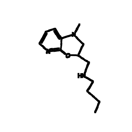 CCCCNCC1CN(C)c2cccnc2O1